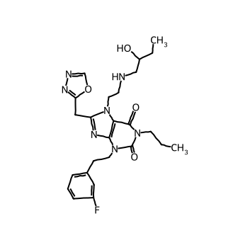 CCCn1c(=O)c2c(nc(Cc3nnco3)n2CCNCC(O)CC)n(CCc2cccc(F)c2)c1=O